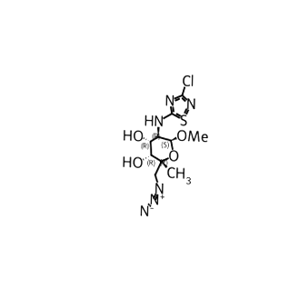 CO[C@H]1O[C@](C)(CN=[N+]=[N-])[C@H](O)[C@H](O)[C@H]1Nc1nc(Cl)ns1